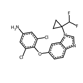 Nc1cc(Cl)c(Oc2ccc3ncn(C4(C(F)F)CC4)c3c2)c(Cl)c1